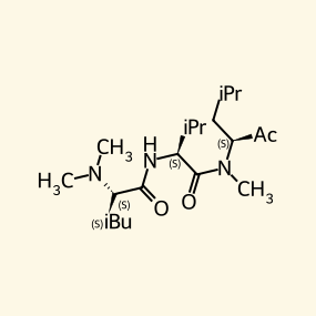 CC[C@H](C)[C@@H](C(=O)N[C@H](C(=O)N(C)[C@@H](CC(C)C)C(C)=O)C(C)C)N(C)C